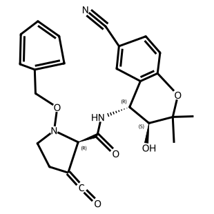 CC1(C)Oc2ccc(C#N)cc2[C@@H](NC(=O)[C@H]2C(=C=O)CCN2OCc2ccccc2)[C@@H]1O